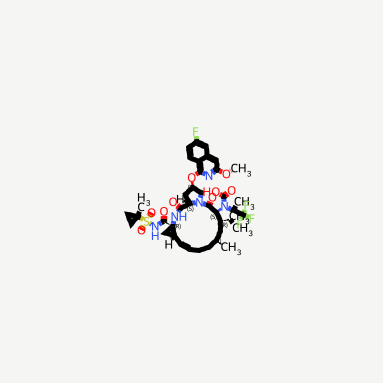 CC[C@@H]1C[C@H](C)CCC=C[C@@H]2C[C@@]2(C(=O)NS(=O)(=O)C2(C)CC2)NC(=O)[C@@H]2C[C@@H](Oc3nc(OC)cc4cc(F)ccc34)CN2C(=O)[C@H]1N(C(=O)O)C(C)(C)C(F)(F)F